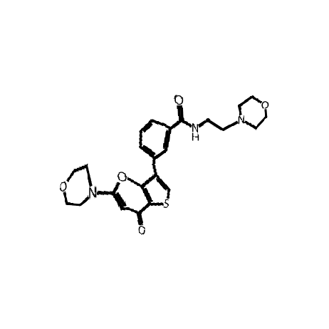 O=C(NCCN1CCOCC1)c1cccc(-c2csc3c(=O)cc(N4CCOCC4)oc23)c1